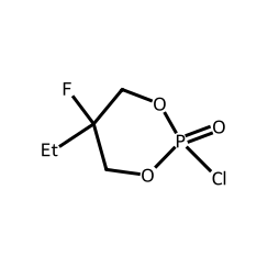 CCC1(F)COP(=O)(Cl)OC1